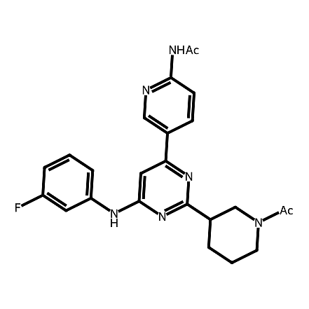 CC(=O)Nc1ccc(-c2cc(Nc3cccc(F)c3)nc(C3CCCN(C(C)=O)C3)n2)cn1